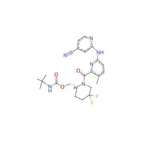 Cc1ccc(Nc2cc(C#N)ccn2)nc1C(=O)N1CC(F)(F)CC[C@@H]1COC(=O)NC(C)(C)C